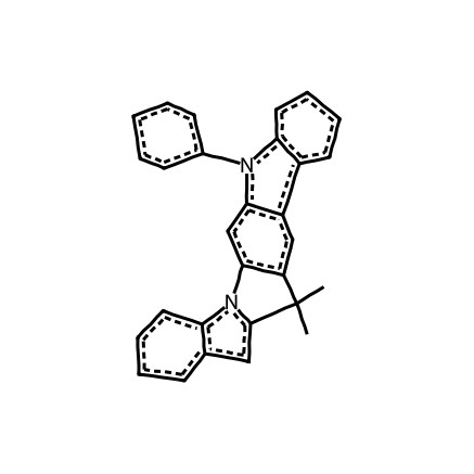 CC1(C)c2cc3c4ccccc4n(-c4ccccc4)c3cc2-n2c1cc1ccccc12